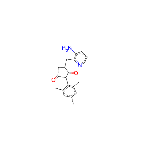 Cc1cc(C)c(C2C(=O)CC(Cc3ncccc3N)C2=O)c(C)c1